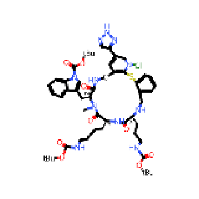 CN1C(=O)[C@H](CCCCNC(=O)OC(C)(C)C)NC(=O)[C@H](CCCNC(=O)OC(C)(C)C)NCc2ccccc2SC2=C(C=C(c3cn[nH]n3)CN2Cl)CNC(=O)[C@@H]1Cc1cn(C(=O)OC(C)(C)C)c2ccccc12